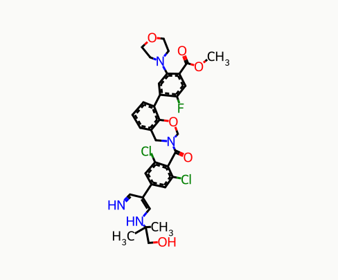 COC(=O)c1cc(F)c(-c2cccc3c2OCN(C(=O)c2c(Cl)cc(/C(C=N)=C/NC(C)(C)CO)cc2Cl)C3)cc1N1CCOCC1